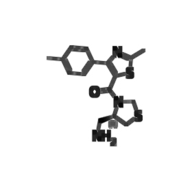 Cc1ccc(-c2nc(C)sc2C(=O)N2CSC[C@H]2CN)cc1